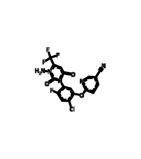 N#Cc1ccc(Oc2cc(-n3c(=O)cc(C(F)(F)F)n(N)c3=O)c(F)cc2Cl)nc1